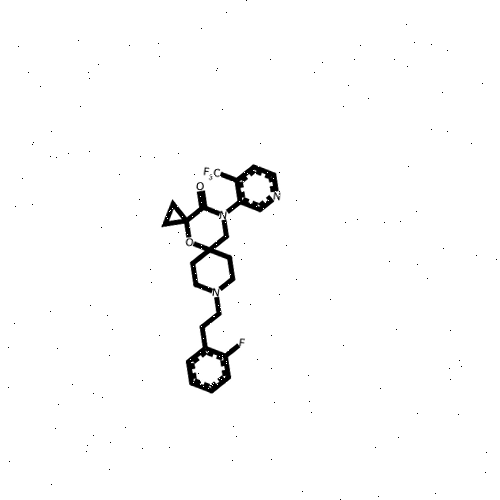 O=C1N(c2cnccc2C(F)(F)F)CC2(CCN(CCc3ccccc3F)CC2)OC12CC2